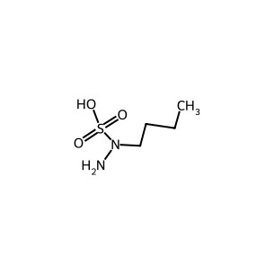 CCCCN(N)S(=O)(=O)O